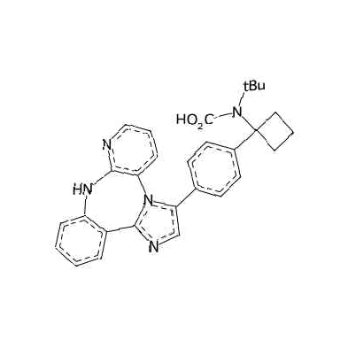 CC(C)(C)N(C(=O)O)C1(c2ccc(-c3cnc4n3-c3cccnc3Nc3ccccc3-4)cc2)CCC1